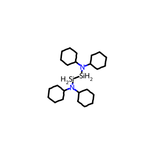 C1CCC(N([SiH2][SiH2]N(C2CCCCC2)C2CCCCC2)C2CCCCC2)CC1